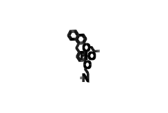 CC(O)COc1ccc2ccccc2c1Cc1ccc(OCCN(C)C)cc1